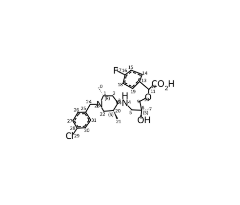 C[C@@H]1C[C@H](NC[C@](C)(O)COC(C(=O)O)c2ccc(F)cc2)[C@@H](C)CN1Cc1ccc(Cl)cc1